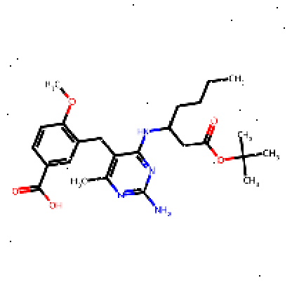 CCCCC(CC(=O)OC(C)(C)C)Nc1nc(N)nc(C)c1Cc1cc(C(=O)O)ccc1OC